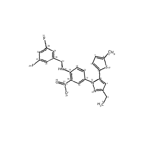 CCc1cc(-c2ccc(C)s2)n(-c2ccc(NCc3cc(F)cc(F)c3)c([N+](=O)[O-])c2)n1